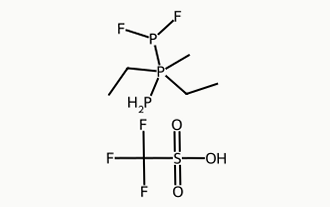 CCP(C)(P)(CC)P(F)F.O=S(=O)(O)C(F)(F)F